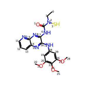 CCN(S)C(=O)Nc1nc2ncccc2nc1Nc1cc(OC)c(OC)c(OC)c1